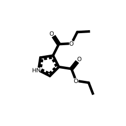 CCOC(=O)c1c[nH]cc1C(=O)OCC